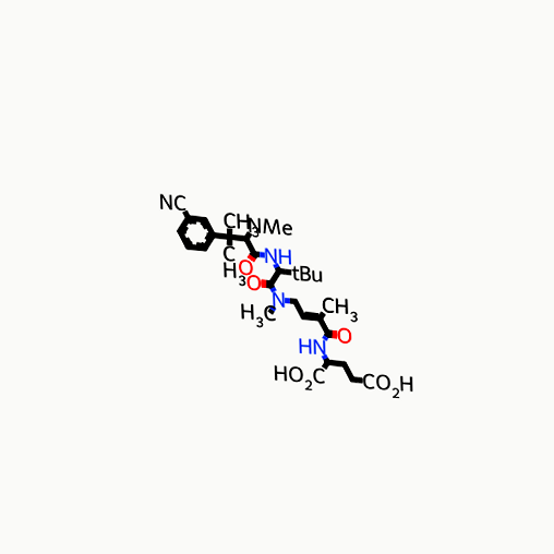 CNC(C(=O)NC(C(=O)N(C)C/C=C(\C)C(=O)NC(CCC(=O)O)C(=O)O)C(C)(C)C)C(C)(C)c1cccc(C#N)c1